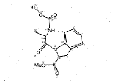 COC(=O)C1Cc2ccccc2N1C(=O)C(C)NC(=O)OC(C)(C)C